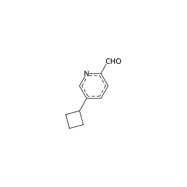 O=Cc1ccc(C2CCC2)cn1